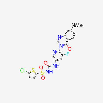 CNc1ccc2c(=O)n(-c3ncc(NC(=O)NS(=O)(=O)c4ccc(Cl)s4)cc3F)cnc2c1